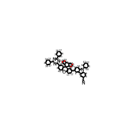 N#Cc1ccc2c(c1)c1cc(-c3ccc4c(c3)C3(c5cc(-c6nc(-c7ccccc7)nc(-c7ccccc7)n6)ccc5O4)c4ccccc4-c4ccccc43)ccc1n2-c1ccccc1